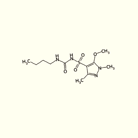 CCCCNC(=O)NS(=O)(=O)c1c(C)nn(C)c1OC